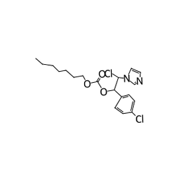 CCCCCCCOC(=O)OC(c1ccc(Cl)cc1)C(Cl)n1ccnc1